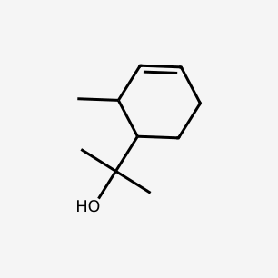 CC1C=CCCC1C(C)(C)O